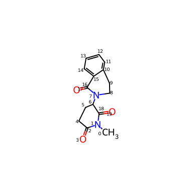 CN1C(=O)CCC(N2CCc3ccccc3C2=O)C1=O